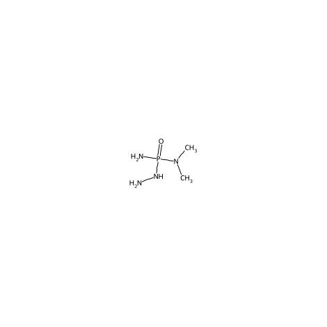 CN(C)P(N)(=O)NN